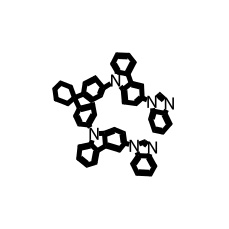 c1ccc2c(c1)ncn2-c1ccc2c(c1)c1ccccc1n2-c1ccc(C2(c3ccc(-n4c5ccccc5c5cc(-n6cnc7ccccc76)ccc54)cc3)CCCCC2)cc1